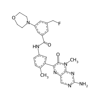 Cc1ccc(NC(=O)c2cc(CF)cc(N3CCOCC3)c2)cc1-c1nc2cnc(N)nc2n(C)c1=O